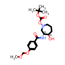 COCOc1ccc(C(=O)N[C@@H]2CN(OC(=O)OC(C)(C)C)CCC[C@H]2O)cc1